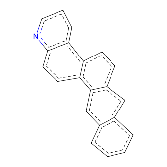 c1ccc2cc3c(ccc4c5cccnc5ccc34)cc2c1